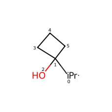 C[C](C)C1(O)CCC1